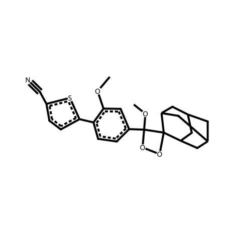 COc1cc(C2(OC)OOC23C2CC4CC(C2)CC3C4)ccc1-c1ccc(C#N)s1